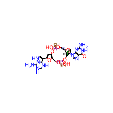 Nc1nc2c(ncn2C2=C3O[PH](O)(S)OCc4oc(C5=CNN6C(N)NCNC56)cc4O[PH](O)(S)O/C=C(/O2)[C@H]3F)c(=O)[nH]1